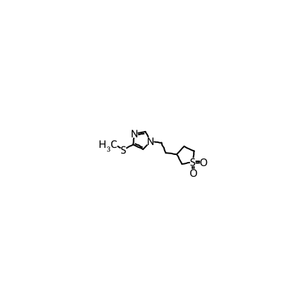 CSc1cn(CCC2CCS(=O)(=O)C2)cn1